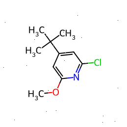 COc1cc(C(C)(C)C)cc(Cl)n1